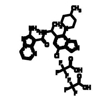 CC1CCN(c2c(C(C)NC(=O)c3c(N)nn4cccnc34)cc(Cl)c3cncn23)CC1.O=C(O)C(F)(F)F.O=C(O)C(F)(F)F